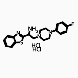 Cl.Cl.NC(CN1CCN(c2ccc(F)cc2)CC1)c1nc2ccccc2s1